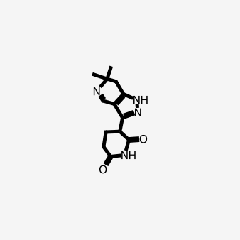 CC1(C)Cc2[nH]nc(C3CCC(=O)NC3=O)c2C=N1